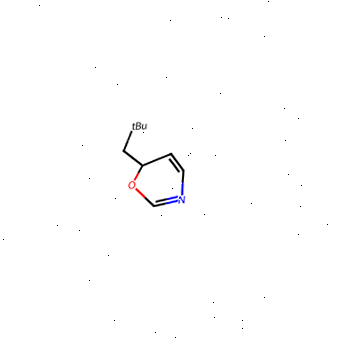 CC(C)(C)CC1C=CN=CO1